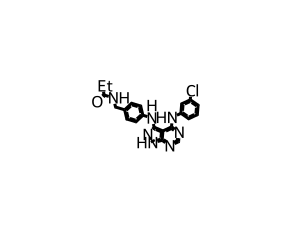 CCC(=O)NCc1ccc(Nc2n[nH]c3ncnc(Nc4cccc(Cl)c4)c23)cc1